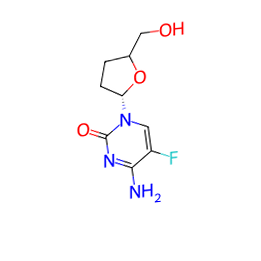 Nc1nc(=O)n([C@@H]2CCC(CO)O2)cc1F